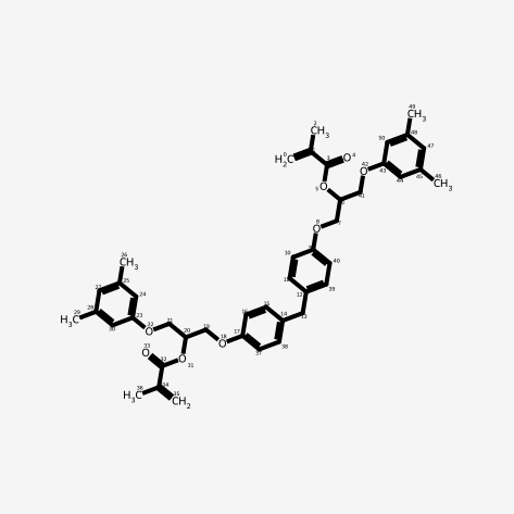 C=C(C)C(=O)OC(COc1ccc(Cc2ccc(OCC(COc3cc(C)cc(C)c3)OC(=O)C(=C)C)cc2)cc1)COc1cc(C)cc(C)c1